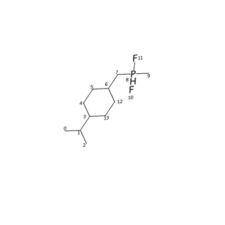 CC(C)C1CCC(C[PH](C)(F)F)CC1